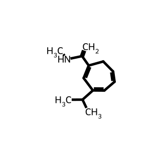 C=C(NC)C1=CC(C(C)C)=CC=CC1